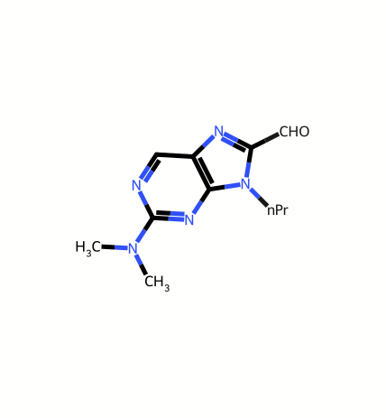 CCCn1c(C=O)nc2cnc(N(C)C)nc21